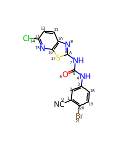 N#Cc1cc(NC(=O)Nc2nc3ccc(Cl)nc3s2)ccc1Br